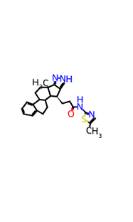 Cc1cnc(NC(=O)CC[C@@H]2c3c[nH]nc3[C@@]3(C)CCC4c5ccccc5CCC4C23)s1